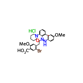 COc1ccc(NN(C(=O)Cc2cc(OC)c(C(=O)O)cc2Br)c2c(C)cccc2N2CCCCC2)cc1.Cl